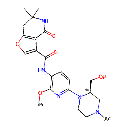 CC(=O)N1CCN(c2ccc(NC(=O)c3coc4c3C(=O)NC(C)(C)C4)c(OC(C)C)n2)[C@@H](CO)C1